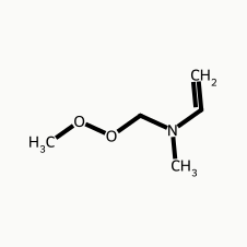 C=CN(C)COOC